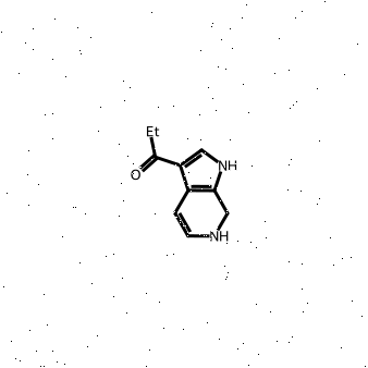 CCC(=O)c1c[nH]c2c1C=CNC2